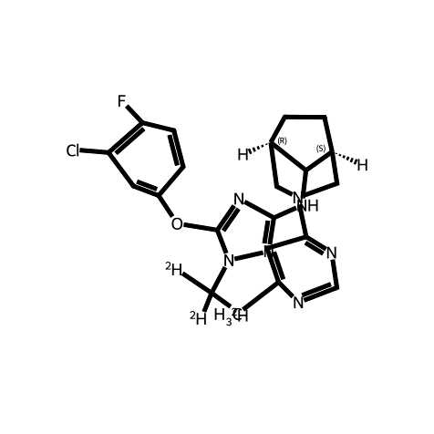 [2H]C([2H])([2H])n1nc(NC2[C@@H]3CC[C@H]2CN(c2cc(C)ncn2)C3)nc1Oc1ccc(F)c(Cl)c1